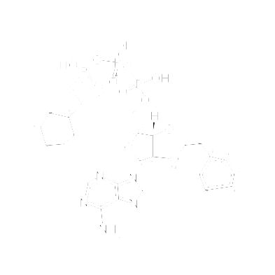 Nc1ncnc2c1ncn2[C@@H]1O[C@H](COP(=O)(O)OP(=O)(O)OP(=O)(O)SCC2CCCCC2)[C@@H]2OC(Cc3ccccc3)OC21